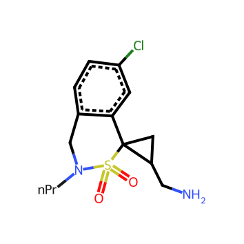 CCCN1Cc2ccc(Cl)cc2C2(CC2CN)S1(=O)=O